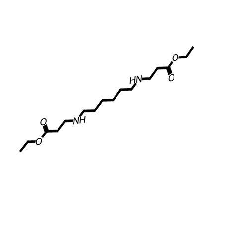 CCOC(=O)CCNCCCCCCNCCC(=O)OCC